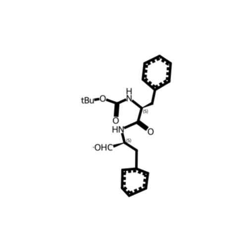 CC(C)(C)OC(=O)N[C@@H](Cc1ccccc1)C(=O)N[C@H]([C]=O)Cc1ccccc1